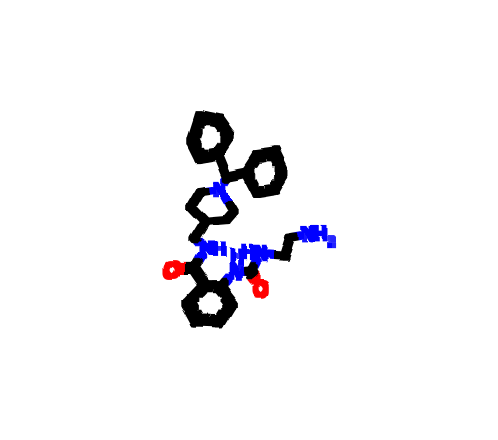 NCCNC(=O)Nc1ccccc1C(=O)NCC1CCN(C(c2ccccc2)c2ccccc2)CC1